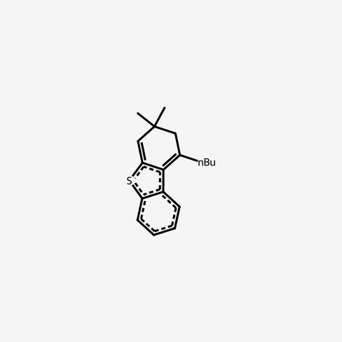 CCCCC1=c2c(sc3ccccc23)=CC(C)(C)C1